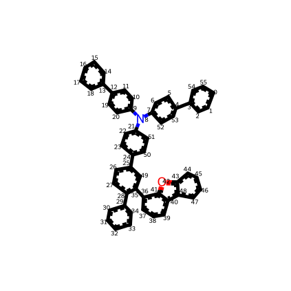 c1ccc(-c2ccc(N(c3ccc(-c4ccccc4)cc3)c3ccc(-c4ccc(-c5ccccc5)c(-c5cccc6c5oc5ccccc56)c4)cc3)cc2)cc1